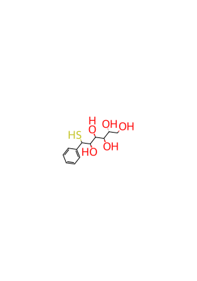 OC[C@@H](O)[C@@H](O)[C@H](O)[C@@H](O)C(S)c1ccccc1